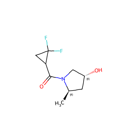 C[C@@H]1C[C@@H](O)CN1C(=O)C1CC1(F)F